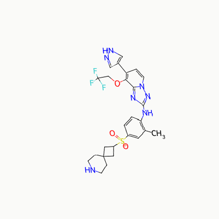 Cc1cc(S(=O)(=O)C2CC3(CCNCC3)C2)ccc1Nc1nc2c(OCC(F)(F)F)c(-c3cn[nH]c3)ccn2n1